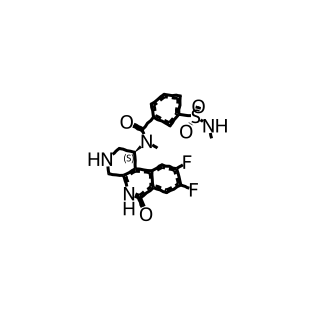 CNS(=O)(=O)c1cccc(C(=O)N(C)[C@@H]2CNCc3[nH]c(=O)c4cc(F)c(F)cc4c32)c1